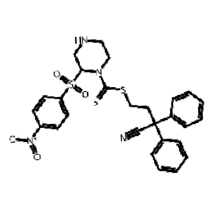 N#CC(CCSC(=S)N1CCNCC1S(=O)(=O)c1ccc([N+](=O)[O-])cc1)(c1ccccc1)c1ccccc1